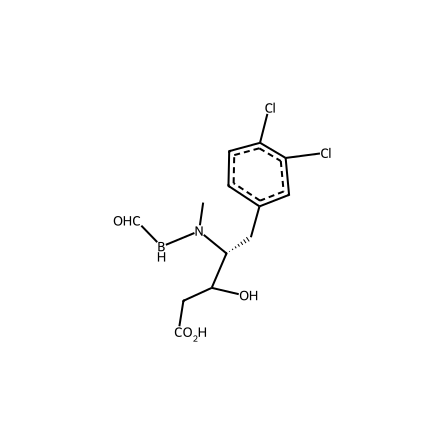 CN(BC=O)[C@H](Cc1ccc(Cl)c(Cl)c1)C(O)CC(=O)O